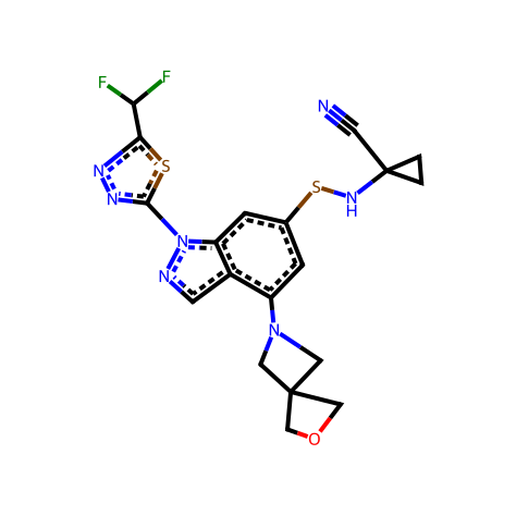 N#CC1(NSc2cc(N3CC4(COC4)C3)c3cnn(-c4nnc(C(F)F)s4)c3c2)CC1